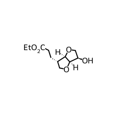 CCOC(=O)CC[C@H]1CO[C@H]2[C@@H]1OC[C@H]2O